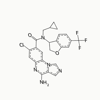 Nc1nc2cc(Cl)c(C(=O)N(CC3CC3)C3COc4cc(C(F)(F)F)ccc43)cc2n2cncc12